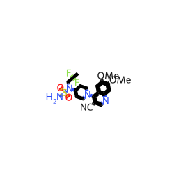 COc1cc2ncc(C#N)c(N3CCC(N(CC(C)(F)F)S(N)(=O)=O)CC3)c2cc1OC